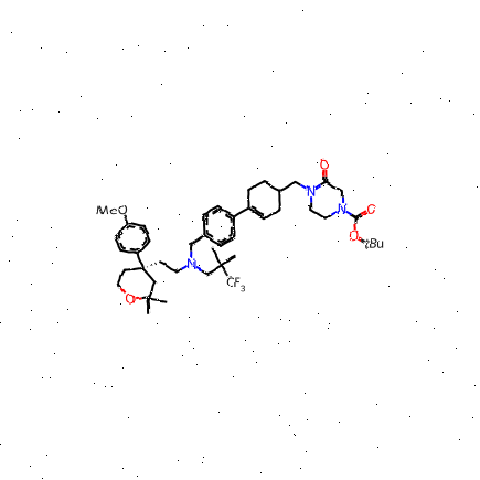 COc1ccc([C@]2(CCN(Cc3ccc(C4=CCC(CN5CCN(C(=O)OC(C)(C)C)CC5=O)CC4)cc3)CC(C)(C)C(F)(F)F)CCOC(C)(C)C2)cc1